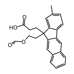 Cc1ccc2c(c1)C(CCOC=O)(CCC(=O)O)c1cc3ccccc3cc1-2